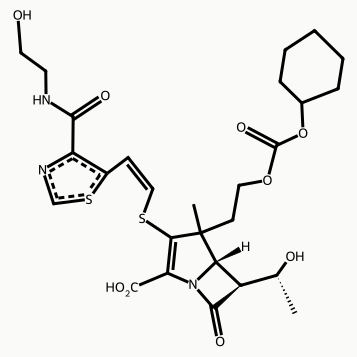 C[C@@H](O)[C@H]1C(=O)N2C(C(=O)O)=C(S/C=C\c3scnc3C(=O)NCCO)C(C)(CCOC(=O)OC3CCCCC3)[C@H]12